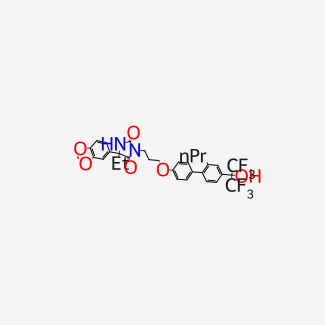 CCCc1cc(C(O)(C(F)(F)F)C(F)(F)F)ccc1-c1ccc(OCCCN2C(=O)NC(CC)(c3ccc4c(c3)OCO4)C2=O)cc1